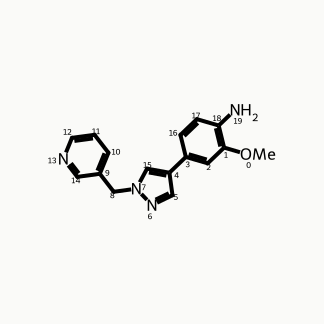 COc1cc(-c2cnn(Cc3cccnc3)c2)ccc1N